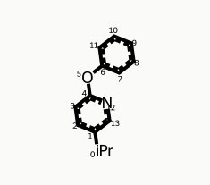 CC(C)c1ccc(Oc2ccccc2)nc1